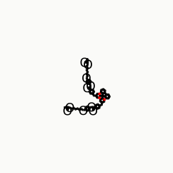 C=CC(=O)OCCCCCCOc1ccc(OC(=O)c2ccc(Cc3ccc(C4(c5ccc(Cc6ccc(C(=O)Oc7ccc(OCCCCCCOC(=O)C=C)cc7)cc6)cc5)c5ccccc5-c5ccccc54)cc3)cc2)cc1